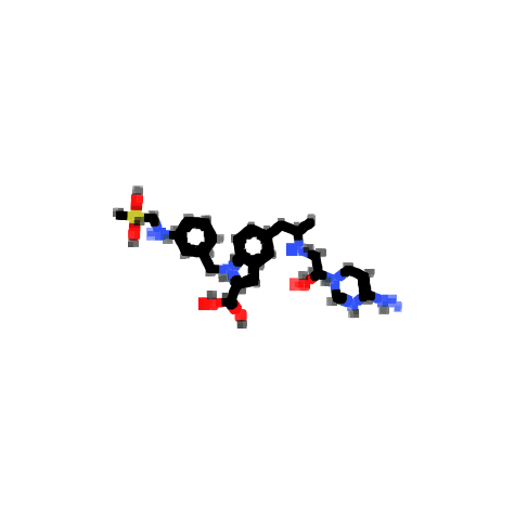 CC(Cc1ccc2c(c1)cc(C(=O)O)n2Cc1cccc(NCS(C)(=O)=O)c1)NCC(O)N1C=NC(N)=CC1